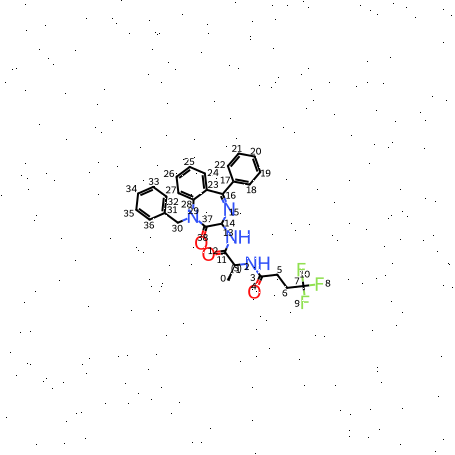 C[C@H](NC(=O)CCC(F)(F)F)C(=O)NC1N=C(c2ccccc2)c2ccccc2N(Cc2ccccc2)C1=O